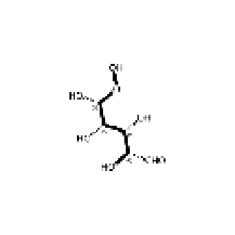 O=C[C@H](O)[C@@H](O)[C@H](O)[C@H](O)OO